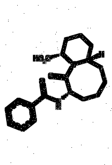 O=C(N[C@H]1CCCC[C@H]2CCC[C@@H](C(=O)O)N2C1=O)c1ccccc1